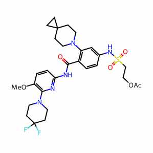 COc1ccc(NC(=O)c2ccc(NS(=O)(=O)CCOC(C)=O)cc2N2CCC3(CC2)CC3)nc1N1CCC(F)(F)CC1